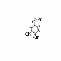 CC(C)Oc1ccc(Br)c(Cl)c1